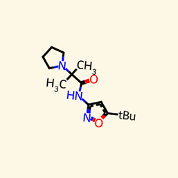 CC(C)(C)c1cc(NC(=O)C(C)(C)N2CCCC2)no1